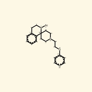 CC(=O)N1CCc2ccccc2C12CCN(CCOc1ccncc1)CC2